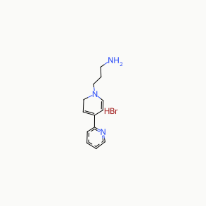 Br.NCCCN1C=CC(c2ccccn2)=CC1